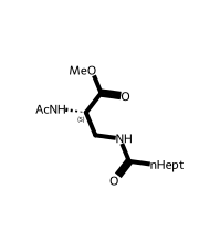 CCCCCCCC(=O)NC[C@H](NC(C)=O)C(=O)OC